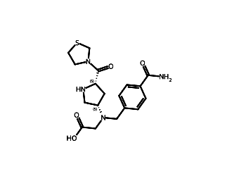 NC(=O)c1ccc(CN(CC(=O)O)[C@@H]2CN[C@H](C(=O)N3CCSC3)C2)cc1